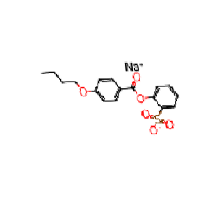 CCCCOc1ccc(C(=O)Oc2ccccc2S(=O)(=O)[O-])cc1.[Na+]